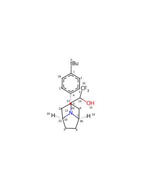 CC(C)(C)c1ccc([C@@H]2C[C@H]3CC[C@@H](C2)N3CC(O)C(F)(F)F)cc1